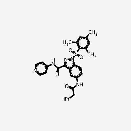 Cc1cc(C)c(S(=O)(=O)n2nc(C(=O)Nc3ccncc3)c3cc(NC(=O)CC(C)C)ccc32)c(C)c1